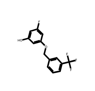 Oc1cc(F)cc(OCc2cccc(C(F)(F)F)c2)c1